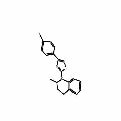 CC1CCc2ccccc2N1c1nc(-c2ccc(Cl)cc2)no1